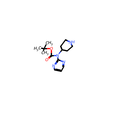 CC(C)(C)OC(=O)N(c1ncccn1)C1CCNCC1